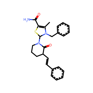 CC1=C(C(N)=O)SC(N2CCCC(C=Cc3ccccc3)C2=O)N1Cc1ccccc1